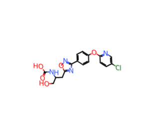 O=C(O)NC(CO)Cc1nc(-c2ccc(Oc3ccc(Cl)cn3)cc2)no1